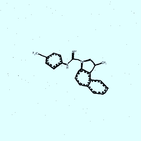 CC1CN(C(=N)Nc2ccc(C(F)(F)F)cc2)c2ccc3ccccc3c21